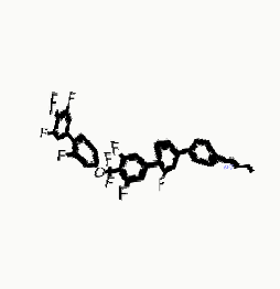 CC/C=C/c1ccc(-c2ccc(-c3cc(F)c(C(F)(F)Oc4ccc(-c5cc(F)c(F)c(F)c5)c(F)c4)c(F)c3)c(F)c2)cc1